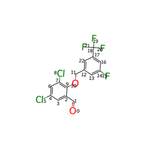 O=Cc1cc(Cl)cc(Cl)c1OCc1cc(F)cc(C(F)(F)F)c1